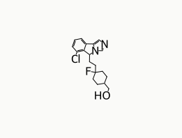 OCC1CCC(F)(CCC2c3c(Cl)cccc3-c3cncn32)CC1